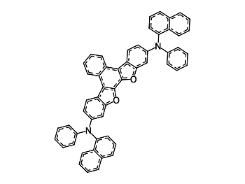 c1ccc(N(c2ccc3c(c2)oc2c4oc5cc(N(c6ccccc6)c6cccc7ccccc67)ccc5c4c4ccccc4c32)c2cccc3ccccc23)cc1